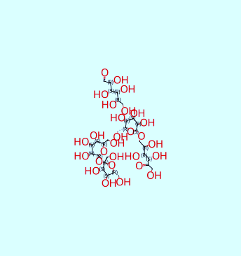 O=C(CO)[C@@H](O)[C@H](O)[C@H](O)CO[C@H]1O[C@H](CO)[C@@H](O)[C@H](O)[C@H]1O.O=C[C@H](O)[C@@H](O)[C@H](O)[C@H](O)CO.OC[C@H]1O[C@@](CO)(O[C@H]2O[C@H](CO)[C@@H](O)[C@H](O)[C@H]2O)[C@@H](O)[C@@H]1O